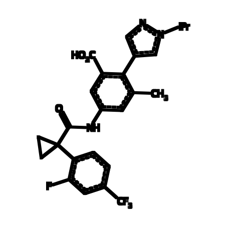 Cc1cc(NC(=O)C2(c3ccc(C(F)(F)F)cc3F)CC2)cc(C(=O)O)c1-c1cnn(C(C)C)c1